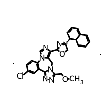 COCc1nnc2n1Cc1c(C3=N[C@@H](C4C=CC=C5C=CC=CC54)CO3)ncn1-c1ccc(Cl)cc1-2